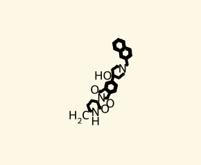 C=C1CCC(N2C(=O)c3ccc(C4(O)CCN(Cc5ccc6ccccc6c5)CC4)cc3C2=O)C(=O)N1